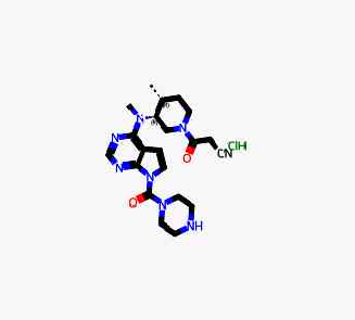 C[C@@H]1CCN(C(=O)CC#N)C[C@@H]1N(C)c1ncnc2c1ccn2C(=O)N1CCNCC1.Cl